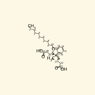 CCCCCCCCCCCOc1ccccc1C(C)(SCCC(=O)O)SCCC(=O)O